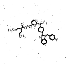 CCCN(CCC)C(=O)OCOc1ccnc(N(C)C2CCN(c3nc4ccccc4n3Cc3ccc(F)cc3)CC2)n1